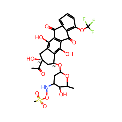 CC(=O)[C@]1(O)Cc2c(O)c3c(c(O)c2[C@@H](OC2CC(NOS(C)(=O)=O)C(O)C(C)O2)C1)C(=O)c1c(OC(F)(F)F)cccc1C3=O